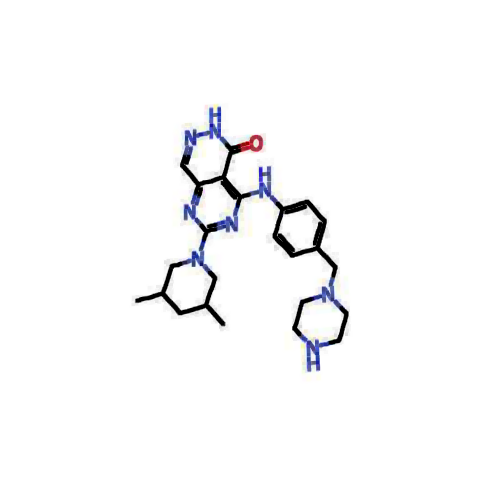 CC1CC(C)CN(c2nc(Nc3ccc(CN4CCNCC4)cc3)c3c(=O)[nH]ncc3n2)C1